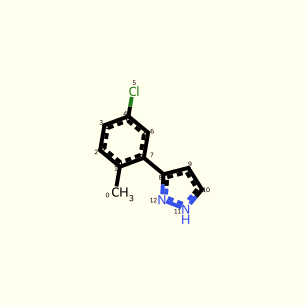 Cc1ccc(Cl)cc1-c1cc[nH]n1